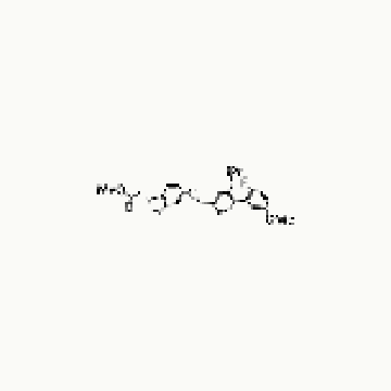 COC(=O)C[C@H]1CCc2cc(OCc3ccc(-c4cc(OC)ccc4F)c(CC(C)C)c3)ccc21